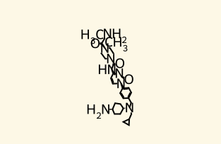 CC(C)(N)C(=O)N1CCN(C(=O)Nc2ccn(-c3ccc(CN(CC4CC4)[C@H]4CC[C@H](N)CC4)cc3)c(=O)n2)CC1